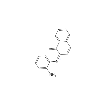 C=C1/C(=N\c2ccccc2N)C=Cc2ccccc21